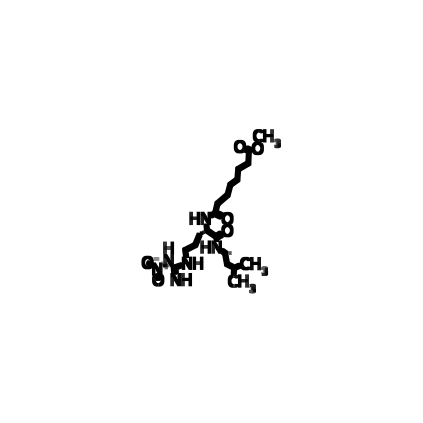 COC(=O)CCCCCCC(=O)N[C@@H](CCCNC(=N)N[N+](=O)[O-])C(=O)N[CH]CC(C)C